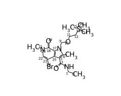 CCNC(=O)c1c(C)n(COCC[Si](C)(C)C)c2c(=O)n(C)cc(Br)c12